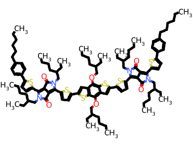 CCCCCCc1ccc(-c2ccc(C3=C4C(=O)N(CC(CC)CCCC)C(c5ccc(-c6cc7c(OCC(CC)CCCC)c8sc(-c9ccc(C%10=C%11C(=O)N(CC(CC)CCCC)C(c%12ccc(-c%13ccc(CCCCCC)cc%13)s%12)=C%11C(=O)N%10CC(CC)CCCC)s9)cc8c(OCC(CC)CCCC)c7s6)s5)=C4C(=O)N3CC(CC)CCCC)s2)cc1